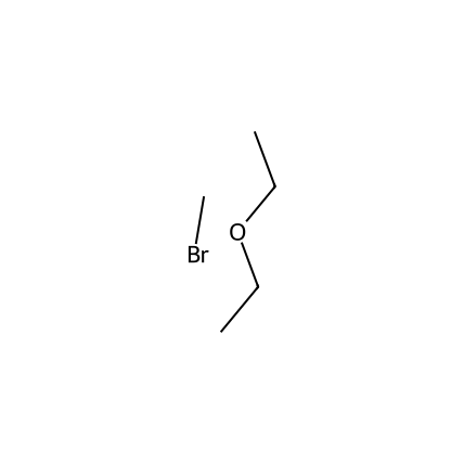 CBr.CCOCC